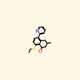 CCSc1ccc(-c2ccccn2)c2c1C(=O)CC(C)C2